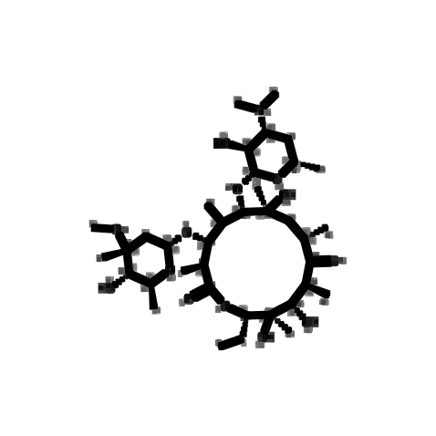 CC[C@@H]1OC(=O)[C@@H](C)[C@H](O[C@H]2C[C@@](C)(OC)[C@@H](O)[C@H](C)O2)C(C)[C@H](O[C@H]2O[C@@H](C)C[C@@H](N(C)C)[C@@H]2O)[C@@](C)(O)C[C@H](C)C(=O)[C@@H](C)[C@H](O)[C@@]1(C)O